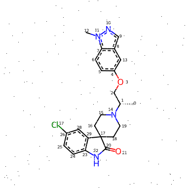 C[C@@H](COc1ccc2c(cnn2C)c1)N1CCC2(CC1)C(=O)Nc1ccc(Cl)cc12